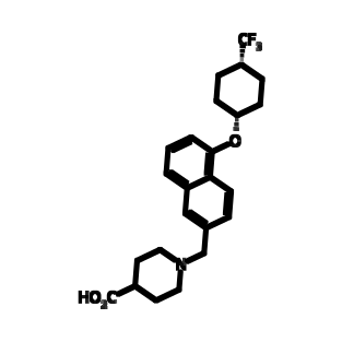 O=C(O)C1CCN(Cc2ccc3c(O[C@H]4CC[C@@H](C(F)(F)F)CC4)cccc3c2)CC1